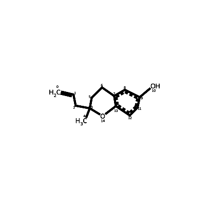 C=CCC1(C)CCc2cc(O)ccc2O1